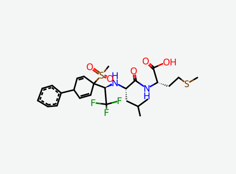 CSCC[C@H](NC(=O)[C@H](CC(C)C)N[C@@H](C(F)(F)F)C1(S(C)(=O)=O)C=CC(c2ccccc2)C=C1)C(=O)O